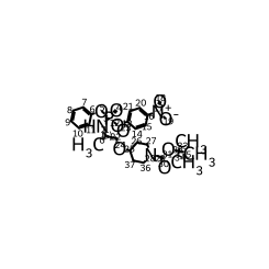 C[C@H](NP(=O)(Oc1ccccc1)Oc1ccc([N+](=O)[O-])cc1)C(=O)OC1CCN(C(=O)OC(C)(C)C)CC1